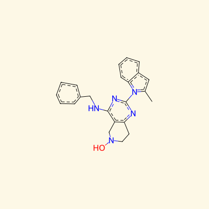 Cc1cc2ccccc2n1-c1nc2c(c(NCc3ccccc3)n1)CN(O)CC2